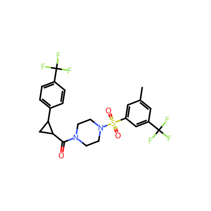 Cc1cc(C(F)(F)F)cc(S(=O)(=O)N2CCN(C(=O)C3CC3c3ccc(C(F)(F)F)cc3)CC2)c1